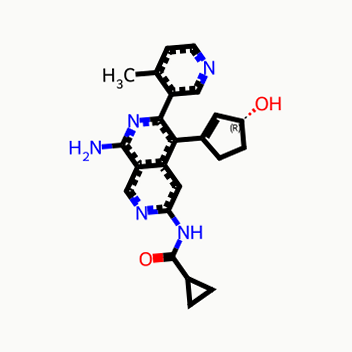 Cc1ccncc1-c1nc(N)c2cnc(NC(=O)C3CC3)cc2c1C1=C[C@H](O)CC1